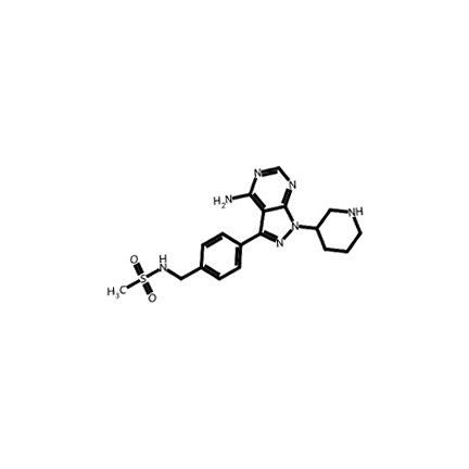 CS(=O)(=O)NCc1ccc(-c2nn(C3CCCNC3)c3ncnc(N)c23)cc1